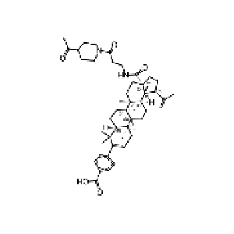 C=C(C)[C@@H]1CC[C@]2(C(=O)NCCC(=O)N3CCC(C(C)=O)CC3)CC[C@]3(C)[C@H](CC[C@@H]4[C@@]5(C)CC=C(c6ccc(C(=O)O)cc6)C(C)(C)[C@@H]5CC[C@]43C)[C@@H]12